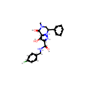 CN1CC(c2ccccc2)n2nc(C(=O)NCc3ccc(F)cc3)c(O)c2C1=O